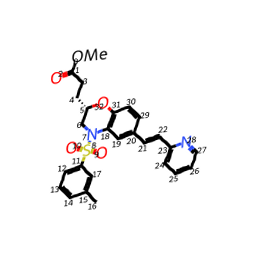 COC(=O)CC[C@H]1CN(S(=O)(=O)c2cccc(C)c2)c2cc(/C=C/c3ccccn3)ccc2O1